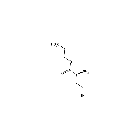 N[C@@H](CCS)C(=O)OCCC(=O)O